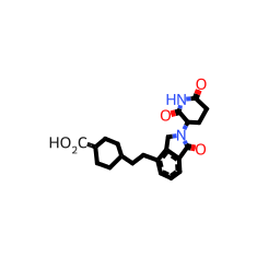 O=C1CCC(N2Cc3c(CCC4CCC(C(=O)O)CC4)cccc3C2=O)C(=O)N1